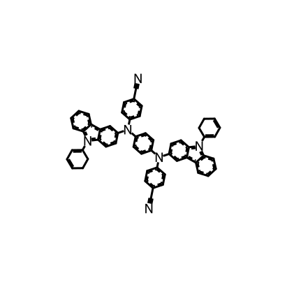 N#Cc1ccc(N(c2ccc(N(c3ccc(C#N)cc3)c3ccc4c(c3)c3ccccc3n4C3=CC=CCC3)cc2)c2ccc3c(c2)c2ccccc2n3C2=CC=CCC2)cc1